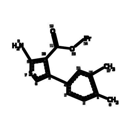 Cc1ccc(-c2csc(N)c2C(=O)OC(C)C)cc1C